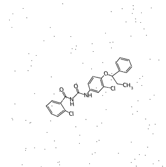 CCC(Oc1ccc(NC(=O)NC(=O)c2ccccc2Cl)cc1Cl)c1ccccc1